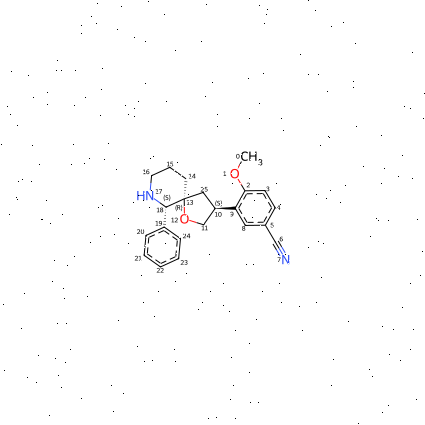 COc1ccc(C#N)cc1[C@H]1CO[C@]2(CCCN[C@H]2c2ccccc2)C1